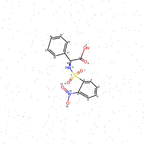 O=C(O)[C@@H](NS(=O)(=O)c1ccccc1[N+](=O)[O-])c1ccccc1